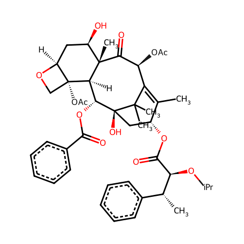 CC(=O)O[C@@H]1C(=O)[C@@]2(C)[C@H](O)C[C@@H]3OC[C@]3(OC(C)=O)[C@@H]2[C@@H](OC(=O)c2ccccc2)[C@@]2(O)C[C@@H](OC(=O)[C@@H](OC(C)C)[C@H](C)c3ccccc3)C(C)=C1C2(C)C